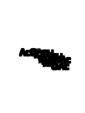 CC(=O)O[C@@H]1CC[C@@]2(C)C(=CC[C@H]3[C@@H]4C[C@@H](OC(C)=O)[C@H](OC(C)=O)[C@@]4(C)CC[C@@H]32)C1